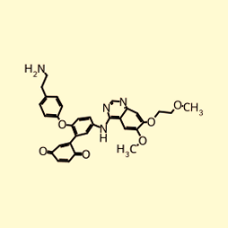 COCCOc1cc2ncnc(Nc3ccc(Oc4ccc(CCN)cc4)c(C4=CC(=O)C=CC4=O)c3)c2cc1OC